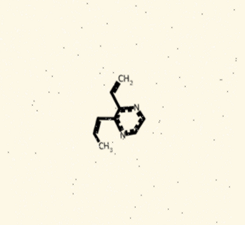 C=Cc1nccnc1/C=C\C